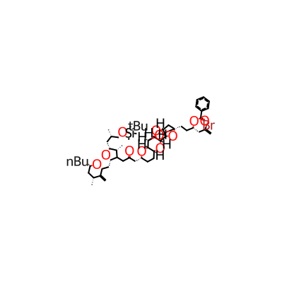 C=C(Br)C[C@H](CC[C@@]12C[C@H]3O[C@H]4[C@@H](O1)[C@H]1O[C@@H](CC(=O)CC5[C@H](CC6O[C@@H](CCCC)C[C@@H](C)C6=C)O[C@H](C[C@H](C)CO[Si](C)(C)C(C)(C)C)[C@@H]5C)CC[C@@H]1O[C@H]4[C@H]3O2)OC(=O)c1ccccc1